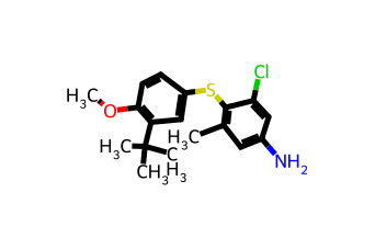 COc1ccc(Sc2c(C)cc(N)cc2Cl)cc1C(C)(C)C